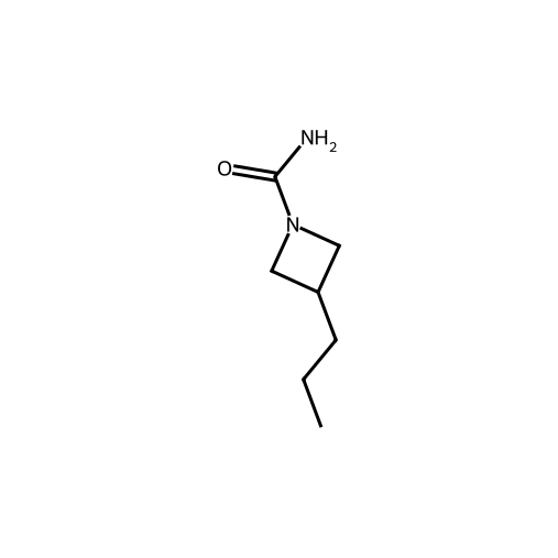 CCCC1CN(C(N)=O)C1